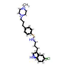 CN1CCN(CCCc2ccc(SNCCCc3c[nH]c4ccc(Cl)cc34)cc2)CC1